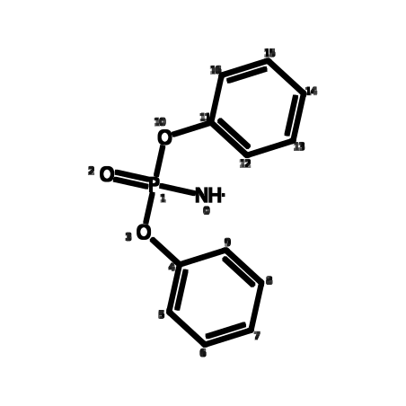 [NH]P(=O)(Oc1ccccc1)Oc1ccccc1